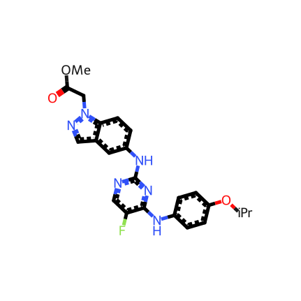 COC(=O)Cn1ncc2cc(Nc3ncc(F)c(Nc4ccc(OC(C)C)cc4)n3)ccc21